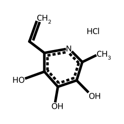 C=Cc1nc(C)c(O)c(O)c1O.Cl